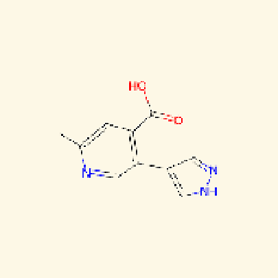 Cc1cc(C(=O)O)c(-c2cn[nH]c2)cn1